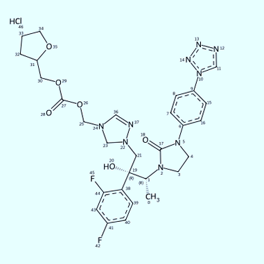 C[C@@H](N1CCN(c2ccc(-n3cnnn3)cc2)C1=O)[C@](O)(CN1CN(COC(=O)OCC2CCCO2)C=N1)c1ccc(F)cc1F.Cl